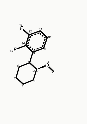 CO[C@H]1CCCCC1c1cccc(F)c1F